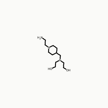 NCCN1CCC(CN(CCO)CCO)CC1